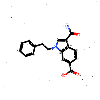 NC(=O)c1cn(CCc2ccccc2)c2cc(C(=O)O)ccc12